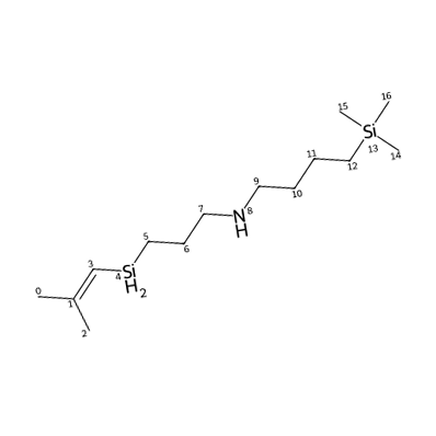 CC(C)=C[SiH2]CCCNCCCC[Si](C)(C)C